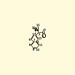 CC(=O)C(c1ccc2ccccc2c1)N(C)C